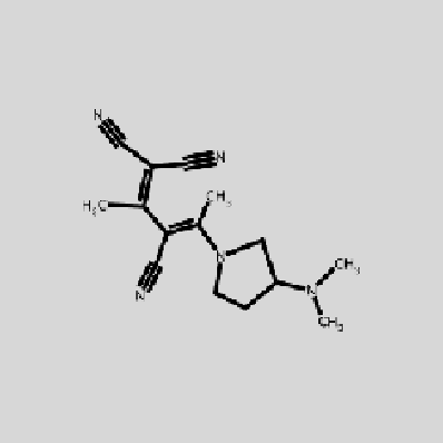 CC(=C(C#N)C#N)/C(C#N)=C(\C)N1CCC(N(C)C)C1